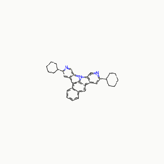 c1ccc2c(c1)cc1c3cc(C4CCCCC4)ncc3n3c4cnc(C5CCCCC5)cc4c2c13